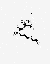 CN(CCCOCC=O)C(=O)OC(C)(C)C